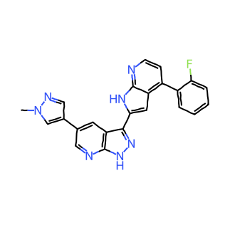 Cn1cc(-c2cnc3[nH]nc(-c4cc5c(-c6ccccc6F)ccnc5[nH]4)c3c2)cn1